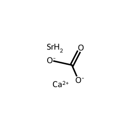 O=C([O-])[O-].[Ca+2].[SrH2]